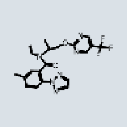 CCN(C(=O)c1cc(C)ccc1-n1nccn1)C(C)COc1ncc(C(F)(F)F)cn1